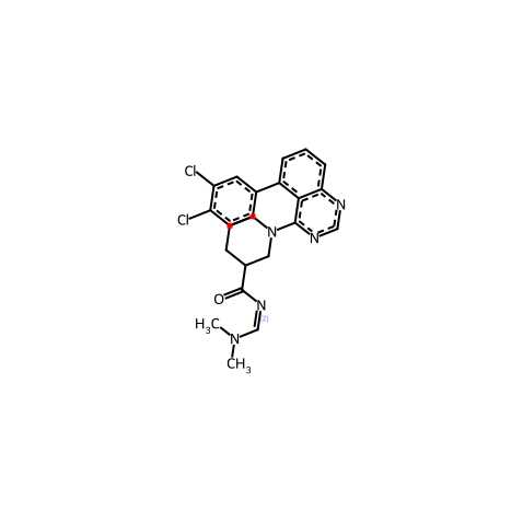 CN(C)/C=N\C(=O)C1CCCN(c2ncnc3cccc(-c4ccc(Cl)c(Cl)c4)c23)C1